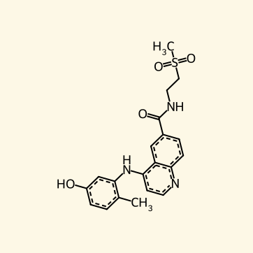 Cc1ccc(O)cc1Nc1ccnc2ccc(C(=O)NCCS(C)(=O)=O)cc12